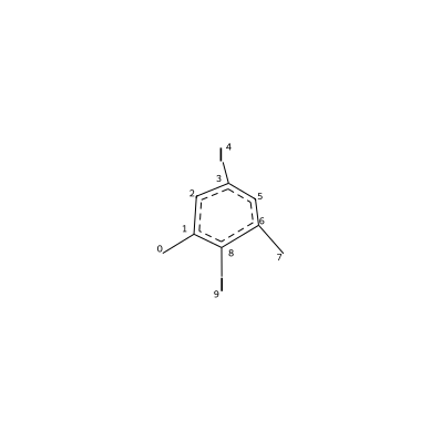 Cc1cc(I)cc(C)c1I